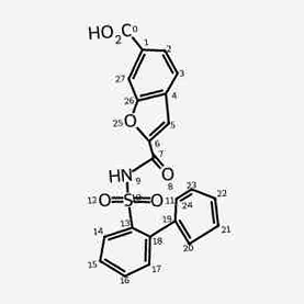 O=C(O)c1ccc2cc(C(=O)NS(=O)(=O)c3ccccc3-c3ccccc3)oc2c1